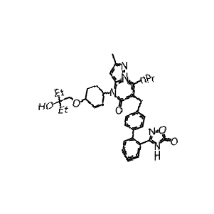 CCCc1c(Cc2ccc(-c3ccccc3-c3noc(=O)[nH]3)cc2)c(=O)n(C2CCC(OCC(O)(CC)CC)CC2)c2cc(C)nn12